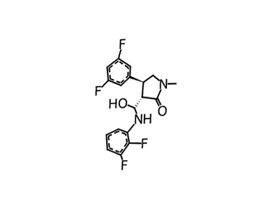 CN1C[C@H](c2cc(F)cc(F)c2)[C@@H](C(O)Nc2cccc(F)c2F)C1=O